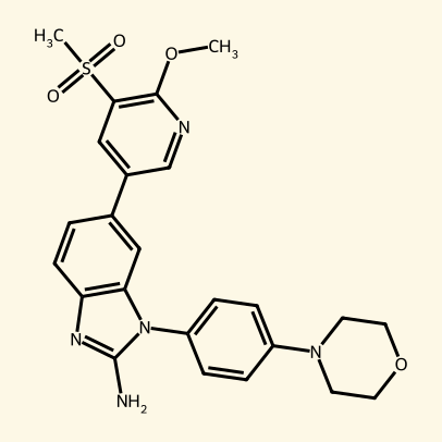 COc1ncc(-c2ccc3nc(N)n(-c4ccc(N5CCOCC5)cc4)c3c2)cc1S(C)(=O)=O